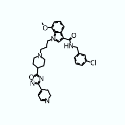 COc1cccc2c(C(=O)NCc3cccc(Cl)c3)cn(CCCN3CCC(c4nc(C5=CC=NCC5)no4)CC3)c12